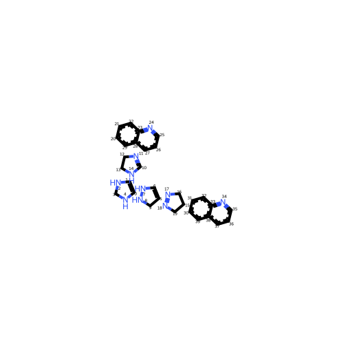 C1=CNCN1.C1=CNNC1.C1=NCCN1.C1CN=NC1.c1ccc2ncccc2c1.c1ccc2ncccc2c1